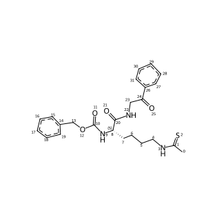 CC(=S)NCCCC[C@H](NC(=O)OCc1ccccc1)C(=O)NCC(=O)c1ccccc1